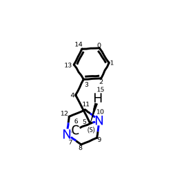 c1ccc(C[C@H]2CN3CCN2CC3)cc1